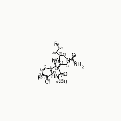 CC(C)(C)NC(=O)c1c(-c2ccc(F)c(Cl)c2)nn2c1CN(C(N)=O)CC2CCF